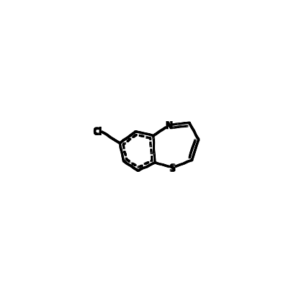 Clc1ccc2c(c1)N=CC=CS2